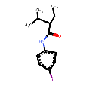 CCC(C(=O)Nc1ccc(I)cc1)C(C)C